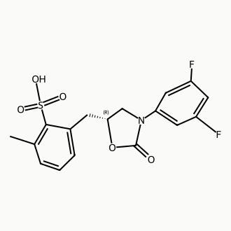 Cc1cccc(C[C@@H]2CN(c3cc(F)cc(F)c3)C(=O)O2)c1S(=O)(=O)O